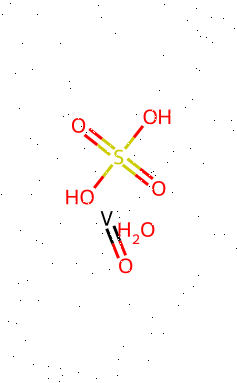 O.O=S(=O)(O)O.[O]=[V]